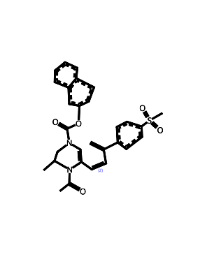 C=C(/C=C\C1=CN(C(=O)Oc2ccc3ccccc3c2)CC(C)N1C(C)=O)c1ccc(S(C)(=O)=O)cc1